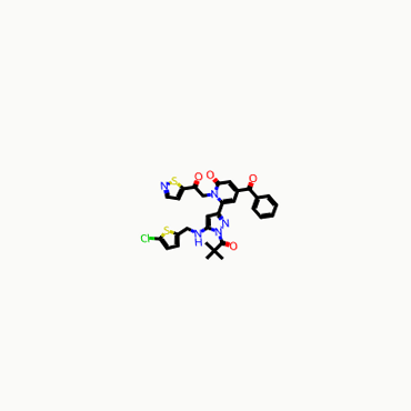 CC(C)(C)C(=O)n1nc(-c2cc(C(=O)c3ccccc3)cc(=O)n2CC(=O)c2ccns2)cc1NCc1ccc(Cl)s1